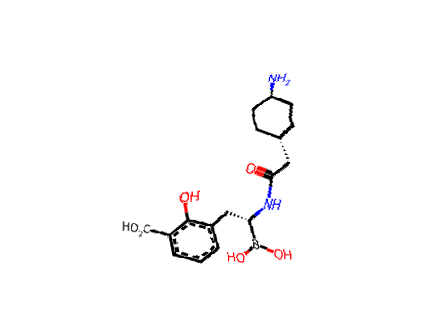 N[C@H]1CC[C@H](CC(=O)N[C@@H](Cc2cccc(C(=O)O)c2O)B(O)O)CC1